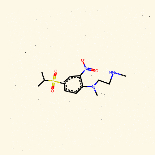 CNCCN(C)c1ccc(S(=O)(=O)C(C)C)cc1[N+](=O)[O-]